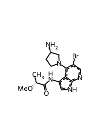 CO[C@H](C)C(=O)Nc1c[nH]c2ncc(Br)c(N3CC[C@@H](N)C3)c12